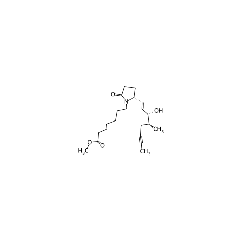 CC#CC[C@H](C)[C@@H](O)C=C[C@H]1CCC(=O)N1CCCCCCC(=O)OC